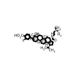 C=C(C)[C@@H]1CC[C@]2(C(=O)NCCN(C)C)CC[C@]3(C)[C@H](CC[C@@H]4[C@@]5(C)CC=C(c6ccc(C(=O)O)c(F)c6)C(C)(C)[C@@H]5CC[C@]43C)[C@@H]12